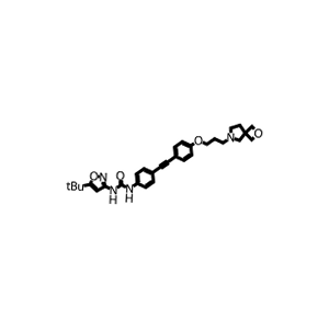 CC(C)(C)c1cc(NC(=O)Nc2ccc(C#Cc3ccc(OCCCN4CCC5(COC5)C4)cc3)cc2)no1